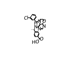 C[C@H](Nc1ncnc2c1N(Cc1cccc(Cl)c1)CCO2)c1ccc(C(=O)O)cc1